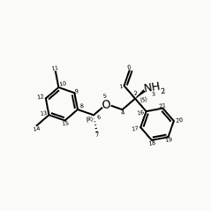 C=C[C@@](N)(CO[C@H](C)c1cc(C)cc(C)c1)c1ccccc1